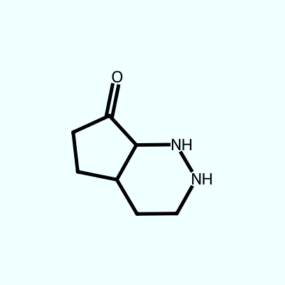 O=C1CCC2CCNNC12